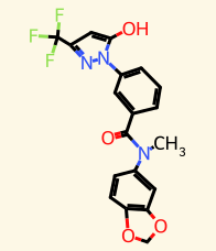 CN(C(=O)c1cccc(-n2nc(C(F)(F)F)cc2O)c1)c1ccc2c(c1)OCO2